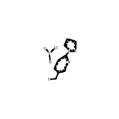 ClCc1ccc(-n2cccn2)nc1.[O-][S+](Cl)Cl